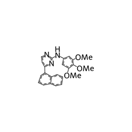 COc1cc(Nc2nccc(-c3cccc4ccccc34)n2)cc(OC)c1OC